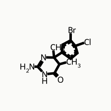 CC1C(=O)NC(N)=NC1(C)c1ccc(Cl)c(Br)c1